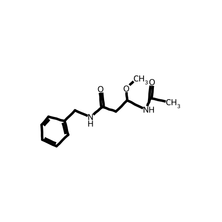 COC(CC(=O)NCc1ccccc1)NC(C)=O